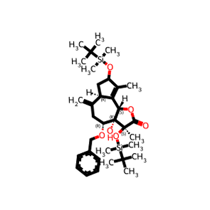 C=C1C[C@@H](OCc2ccccc2)[C@@]2(O)[C@@H](OC(=O)[C@@]2(C)O[Si](C)(C)C(C)(C)C)C2=C(C)C(O[Si](C)(C)C(C)(C)C)C[C@H]12